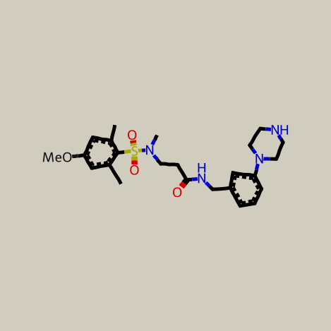 COc1cc(C)c(S(=O)(=O)N(C)CCC(=O)NCc2cccc(N3CCNCC3)c2)c(C)c1